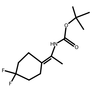 CC(NC(=O)OC(C)(C)C)=C1CCC(F)(F)CC1